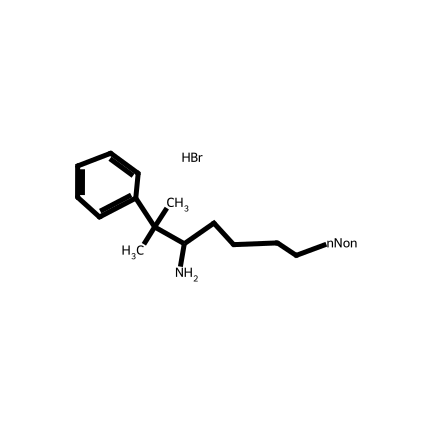 Br.CCCCCCCCCCCCCC(N)C(C)(C)c1ccccc1